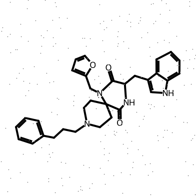 O=C1C(Cc2c[nH]c3ccccc23)NC(=O)C2(CCN(CCCc3ccccc3)CC2)N1Cc1ccco1